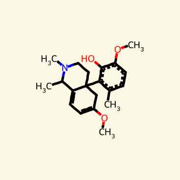 COC1=CC=C2C(C)N(C)CCC2(c2c(C)ccc(OC)c2O)C1